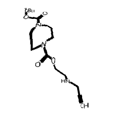 C#CCNCCOC(=O)N1CCN(C(=O)OC(C)(C)C)CC1